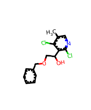 Cc1cnc(Cl)c(C(O)COCc2ccccc2)c1Cl